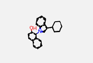 Oc1ccc2ccccc2c1-n1cc(C2CCCCC2)c2ccccc21